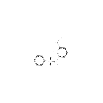 O=S(=O)(c1ccccc1)N(F)c1cccc(CO)n1